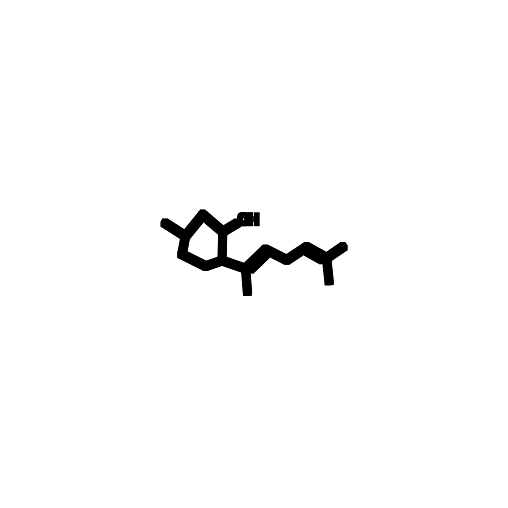 CC(C)=CCC=C(C)C1CCC(C)CC1O